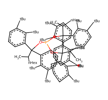 CCCCCCC(C)C(OP(OC(c1cccc(C(C)(C)C)c1C(C)(C)C)(c1cccc(C(C)(C)C)c1C(C)(C)C)C(C)CCCCCC)OC(c1cccc(C(C)(C)C)c1C(C)(C)C)(c1cccc(C(C)(C)C)c1C(C)(C)C)C(C)CCCCCC)(c1cccc(C(C)(C)C)c1C(C)(C)C)c1cccc(C(C)(C)C)c1C(C)(C)C